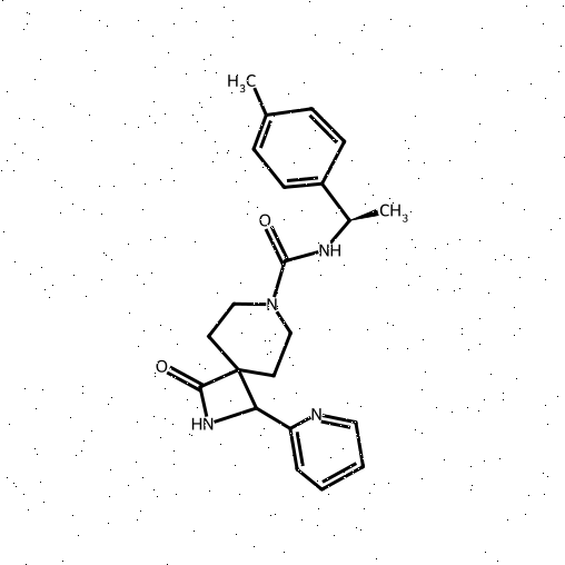 Cc1ccc([C@@H](C)NC(=O)N2CCC3(CC2)C(=O)NC3c2ccccn2)cc1